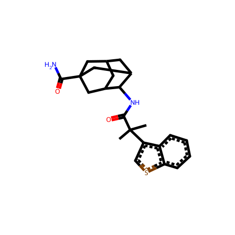 CC(C)(C(=O)NC1C2CC3CC1CC(C(N)=O)(C3)C2)c1csc2ccccc12